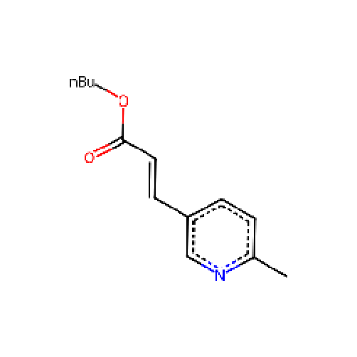 CCCCOC(=O)/C=C/c1ccc(C)nc1